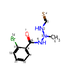 CN(NC=S)NC(=O)c1ccccc1Br